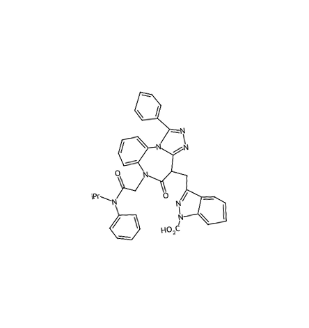 CC(C)N(C(=O)CN1C(=O)C(Cc2nn(C(=O)O)c3ccccc23)c2nnc(-c3ccccc3)n2-c2ccccc21)c1ccccc1